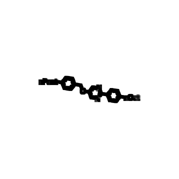 CCCCCCCCc1ccc(-c2ncc(OCc3ccc(CCCCC)cc3)cn2)cc1